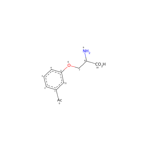 CC(=O)c1cccc(OCC(N)C(=O)O)c1